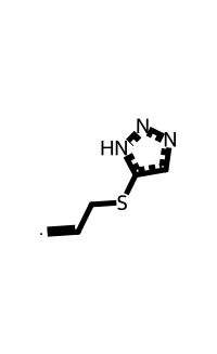 [CH]=CCSc1cnn[nH]1